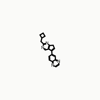 C1=C(c2ccc3nccnc3c2)c2cnc(CC3CCC3)nc2C1